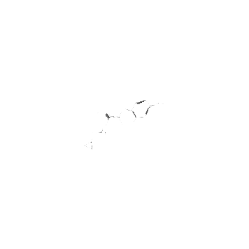 CC(Oc1ccc(Br)cc1F)C(=O)NSC1CC1